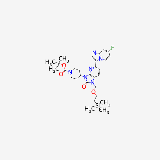 CC(C)(C)OC(=O)N1CCC(n2c(=O)n(COCC[Si](C)(C)C)c3ccc(-c4cnc5cc(F)ccn45)nc32)CC1